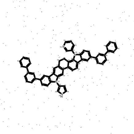 c1ccc(-c2cccc(-c3ccc4c(c3)c3cc5c(cc3n4-c3cc[nH]c3)-c3ccc4c6cc(-c7cccc(-c8ccccc8)c7)ccc6n(-c6cccnc6)c4c3CC5)c2)cc1